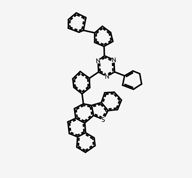 C1=CC(c2nc(-c3cccc(-c4ccccc4)c3)nc(-c3cccc(-c4cc5ccc6ccccc6c5c5sc6ccccc6c45)c3)n2)=CCC1